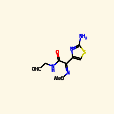 CON=C(C(=O)NCC=O)c1csc(N)n1